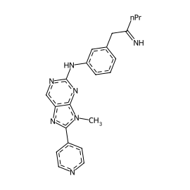 CCCC(=N)Cc1cccc(Nc2ncc3nc(-c4ccncc4)n(C)c3n2)c1